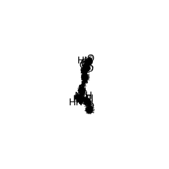 O=C1CCC(N2C(=O)c3ccc(N4CCN(CCCCN5CCC(Nc6ncnc7[nH]cc(C(=O)c8ccc(Oc9ccccc9)cc8Cl)c67)CC5)CC4)cc3C2=O)C(=O)N1